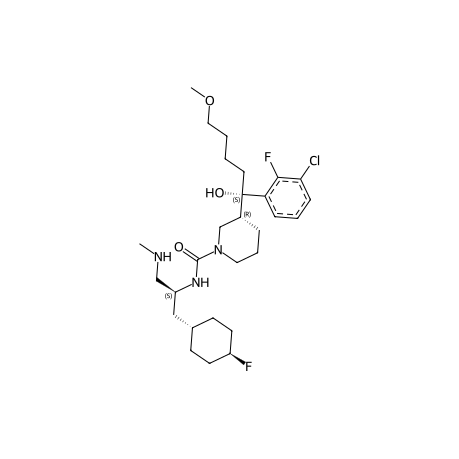 CNC[C@H](C[C@H]1CC[C@H](F)CC1)NC(=O)N1CCC[C@@H]([C@@](O)(CCCCOC)c2cccc(Cl)c2F)C1